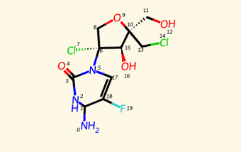 NC1NC(=O)N([C@@]2(Cl)CO[C@@](CO)(CCl)[C@H]2O)C=C1F